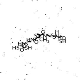 Cc1c(C(=O)NCCSSN[C@H](C=O)CS)csc1C(=O)NCCSN[C@@H](CS)C(=O)S